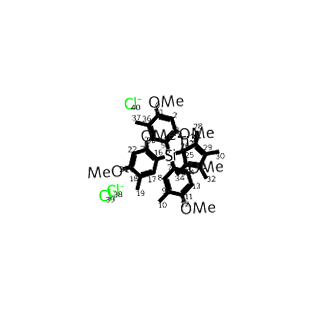 COc1cc(OC)c([Si](c2cc(C)c(OC)cc2OC)(c2cc(C)c(OC)cc2OC)[C]2([Ti+3])C(C)=C(C)C(C)=C2C)cc1C.[Cl-].[Cl-].[Cl-]